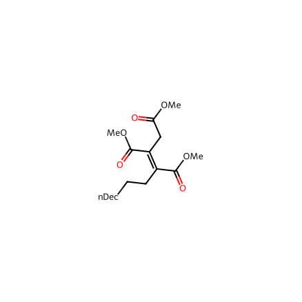 CCCCCCCCCCCCC(C(=O)OC)=C(CC(=O)OC)C(=O)OC